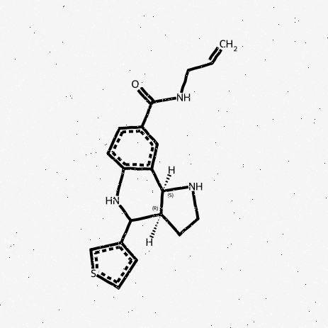 C=CCNC(=O)c1ccc2c(c1)[C@H]1NCC[C@H]1C(c1ccsc1)N2